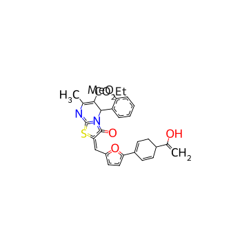 C=C(O)C1C=CC(c2ccc(/C=c3/sc4n(c3=O)C(c3ccccc3OC)C(C(=O)OCC)=C(C)N=4)o2)=CC1